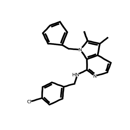 Cc1c(C)n(Cc2ccccc2)c2c(NCc3ccc(Cl)cc3)nccc12